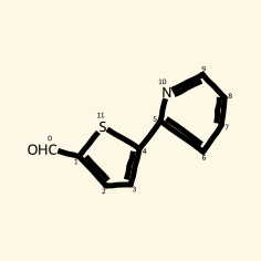 O=Cc1ccc(-c2ccccn2)s1